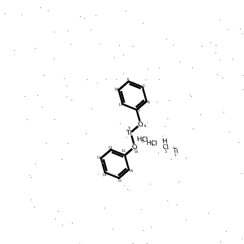 Cl.Cl.Cl.[Ti].c1ccc([O][Ti][O]c2ccccc2)cc1